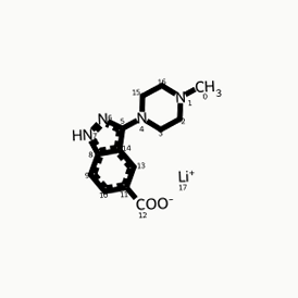 CN1CCN(c2n[nH]c3ccc(C(=O)[O-])cc23)CC1.[Li+]